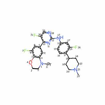 CC(C)N1CCOc2c(F)cc(-c3nc(Nc4ccc(C5CCN(C)CC5)c(F)c4)ncc3F)cc21